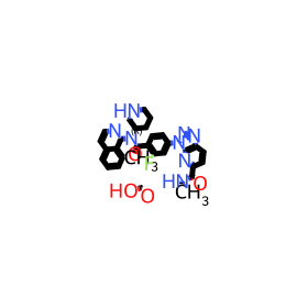 CNC(=O)c1ccc2nnn(-c3ccc(C(=O)N(c4nccc5cccc(C)c45)[C@@H]4CCCNC4)c(F)c3)c2n1.O=CO